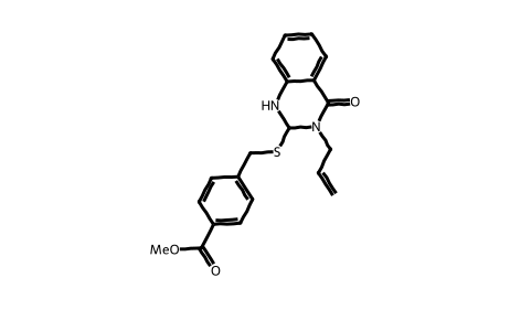 C=CCN1C(=O)c2ccccc2NC1SCc1ccc(C(=O)OC)cc1